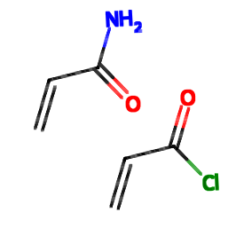 C=CC(=O)Cl.C=CC(N)=O